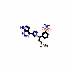 COCCC(c1cccc(S(=O)(=O)N(C)C)c1)n1cc(-c2ncnc3[nH]ccc23)cn1